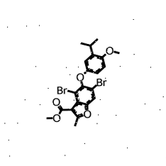 COC(=O)c1c(C)oc2cc(Br)c(Oc3ccc(OC)c(C(C)C)c3)c(Br)c12